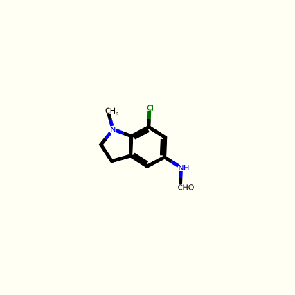 CN1CCc2cc(NC=O)cc(Cl)c21